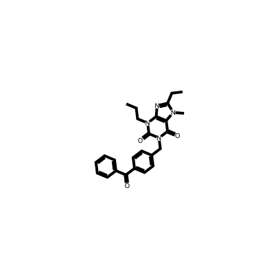 CCCn1c(=O)n(Cc2ccc(C(=O)c3ccccc3)cc2)c(=O)c2c1nc(CC)n2C